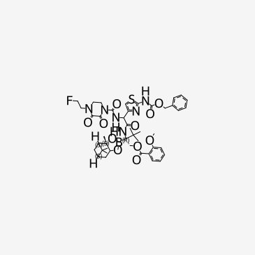 COc1ccccc1C(=O)OC[C@@](NC(=O)C(NC(=O)N1CCN(CCF)C(=O)C1=O)c1csc(NC(=O)OCc2ccccc2)n1)(B1OC2C[C@@H]3C[C@@H](C3(C)C)[C@]2(C)O1)C(C)(C)C